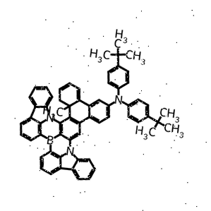 CC(C)(C)c1ccc(N(c2ccc(C(C)(C)C)cc2)c2ccc3c(c2)C2=CC=CCC2(C)c2c-3cc3c4c2-n2c5ccccc5c5cccc(c52)B4c2cccc4c5ccccc5n-3c24)cc1